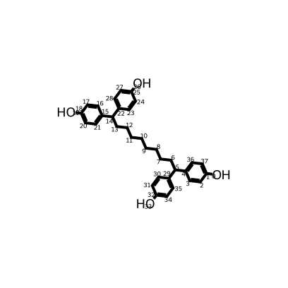 Oc1ccc(C(CCCCCCCCC(c2ccc(O)cc2)c2ccc(O)cc2)c2ccc(O)cc2)cc1